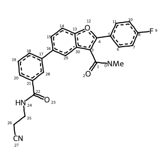 CNC(=O)c1c(-c2ccc(F)cc2)oc2ccc(-c3cccc(C(=O)NCCC#N)c3)cc12